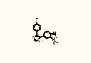 CC(C)n1nnc2ccc(-c3[nH]cnc3-c3ccc(F)cc3)cc21